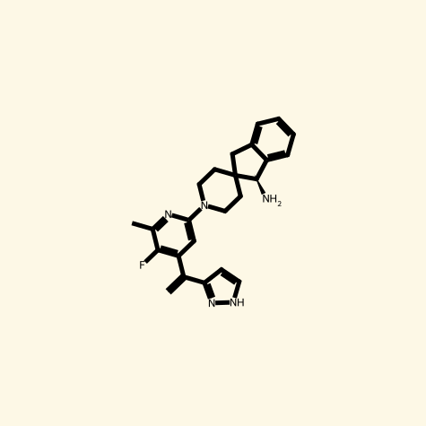 C=C(c1cc[nH]n1)c1cc(N2CCC3(CC2)Cc2ccccc2[C@H]3N)nc(C)c1F